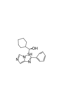 O[C@H](C1CCCCC1)[SH]1C(c2ccccc2)=Nc2cncn21